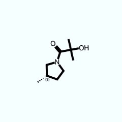 C[C@H]1CCN(C(=O)C(C)(C)O)C1